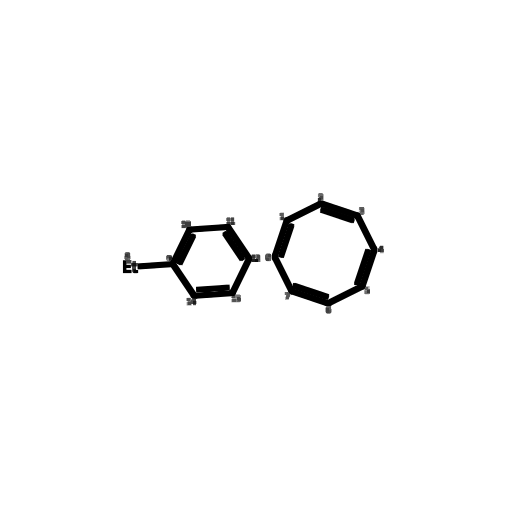 C1=CC=CC=CC=C1.CCc1ccccc1